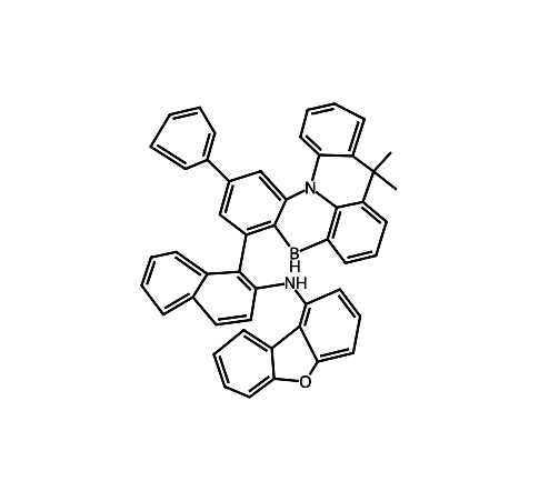 CC1(C)c2ccccc2N2c3cc(-c4ccccc4)cc(-c4c(Nc5cccc6oc7ccccc7c56)ccc5ccccc45)c3Bc3cccc1c32